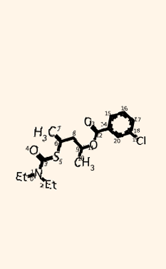 CCN(CC)C(=O)SC(C)CC(C)OC(=O)c1cccc(Cl)c1